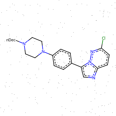 CCCCCCCCCCN1CCN(c2ccc(-c3cnc4ccc(Cl)nn34)cc2)CC1